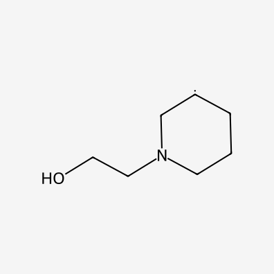 OCCN1C[CH]CCC1